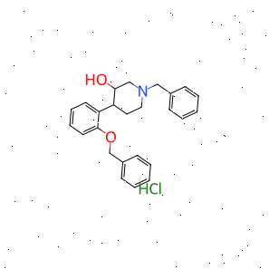 Cl.OC1CN(Cc2ccccc2)CCC1c1ccccc1OCc1ccccc1